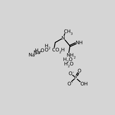 CN(CC(=O)O)C(=N)N.O.O.O.O.O=P([O-])([O-])O.[Na+].[Na+]